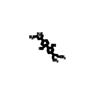 CCCC(CC)c1ccc(-c2ccc(C(CC)CCC)cc2O)c(O)c1